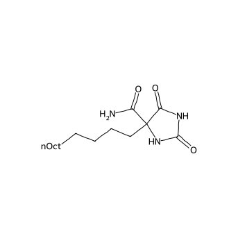 CCCCCCCCCCCCC1(C(N)=O)NC(=O)NC1=O